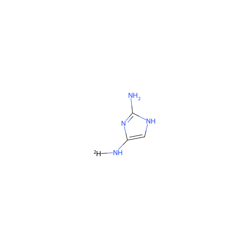 [2H]Nc1c[nH]c(N)n1